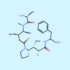 CCC(C)[C@@H]([C@@H](CC(=O)N1CCC[C@H]1[C@H](OC)[C@@H](C)C(=O)NC(Cc1ccccc1)C(=O)O)OC)N(C)C(=O)[C@@H](N)C(C)C